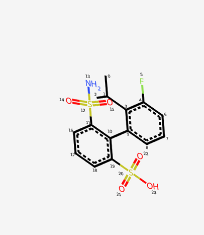 CC(C)c1c(F)cccc1-c1c(S(N)(=O)=O)cccc1S(=O)(=O)O